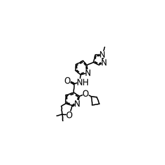 Cn1cc(-c2cccc(NC(=O)c3cc4c(nc3OC3CCC3)OC(C)(C)C4)n2)cn1